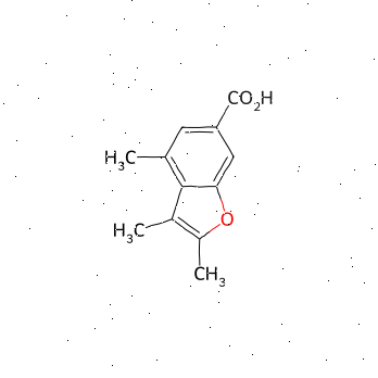 Cc1oc2cc(C(=O)O)cc(C)c2c1C